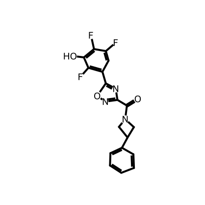 O=C(c1noc(-c2cc(F)c(F)c(O)c2F)n1)N1CC(c2ccccc2)C1